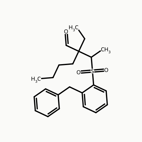 CCCCC(C=O)(CC)C(C)S(=O)(=O)c1ccccc1Cc1ccccc1